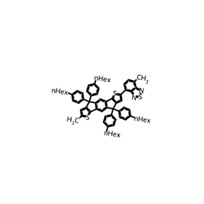 CCCCCCc1ccc(C2(c3ccc(CCCCCC)cc3)c3cc4c(cc3-c3sc(C)cc32)C(c2ccc(CCCCCC)cc2)(c2ccc(CCCCCC)cc2)c2cc(-c3ccc(C)c5nsnc35)sc2-4)cc1